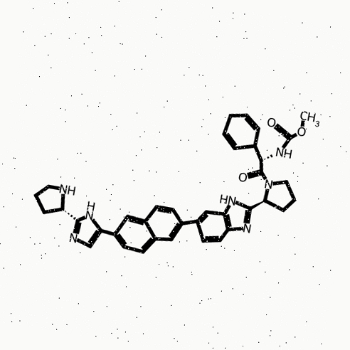 COC(=O)N[C@H](C(=O)N1CCC[C@H]1c1nc2ccc(-c3ccc4cc(-c5cnc([C@@H]6CCCN6)[nH]5)ccc4c3)cc2[nH]1)C1C=CCC=C1